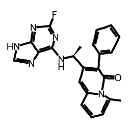 Cc1cccc2cc([C@H](C)Nc3nc(F)nc4[nH]cnc34)c(-c3ccccc3)c(=O)n12